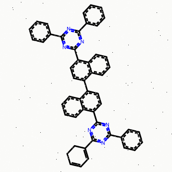 C1=CCCC(c2nc(-c3ccccc3)nc(-c3ccc(-c4ccc(-c5nc(-c6ccccc6)nc(-c6ccccc6)n5)c5ccccc45)c4ccccc34)n2)=C1